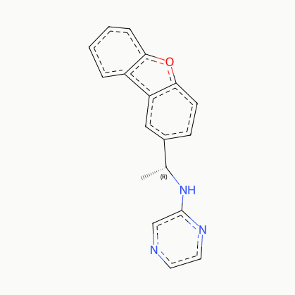 C[C@@H](Nc1cnccn1)c1ccc2oc3ccccc3c2c1